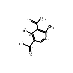 CC(=O)c1c(C)ncc(C(=O)O)c1O